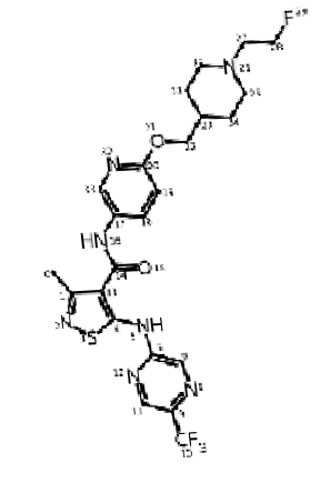 Cc1nsc(Nc2cnc(C(F)(F)F)cn2)c1C(=O)Nc1ccc(OCC2CCN(CCF)CC2)nc1